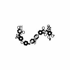 CCOc1cc([C@@H](CS(C)(=O)=O)N2C(=O)c3ccc(N4CCN([C@@H]5CCN(Cc6ccc(Oc7ccc8c([C@@]9(C)CCC(=O)NC9=O)nn(C)c8c7)cc6)CC5(F)F)CC4)cc3C2=O)ccc1OC